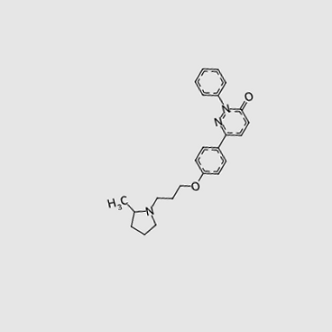 CC1CCCN1CCCOc1ccc(-c2ccc(=O)n(-c3ccccc3)n2)cc1